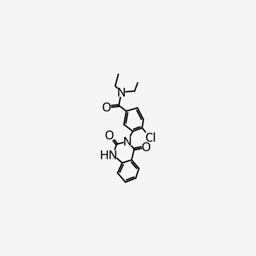 CCN(CC)C(=O)c1ccc(Cl)c(-n2c(=O)[nH]c3ccccc3c2=O)c1